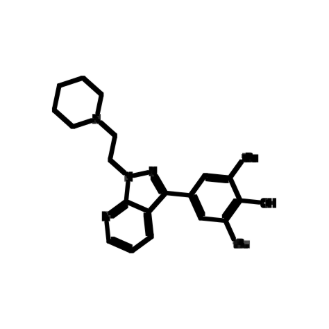 CC(C)(C)c1cc(-c2nn(CCN3CCCCC3)c3ncccc23)cc(C(C)(C)C)c1O